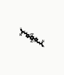 C#C/C(C#N)=C/C=C/C1=CC=C(c2cc(OC)c(C3=CC=C(/C=C/C=C(/C#C)C#N)C3)cc2OC)C1